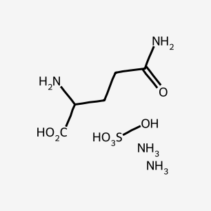 N.N.NC(=O)CCC(N)C(=O)O.O=S(=O)(O)O